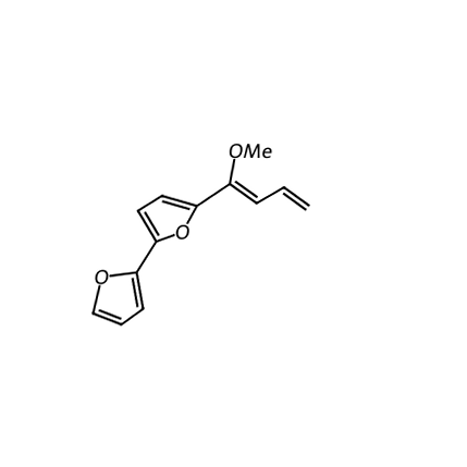 C=C/C=C(\OC)c1ccc(-c2ccco2)o1